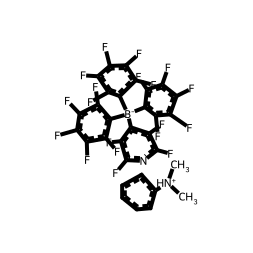 C[NH+](C)c1ccccc1.Fc1nc(F)c(F)c([B-](c2c(F)c(F)c(F)c(F)c2F)(c2c(F)c(F)c(F)c(F)c2F)c2c(F)c(F)c(F)c(F)c2F)c1F